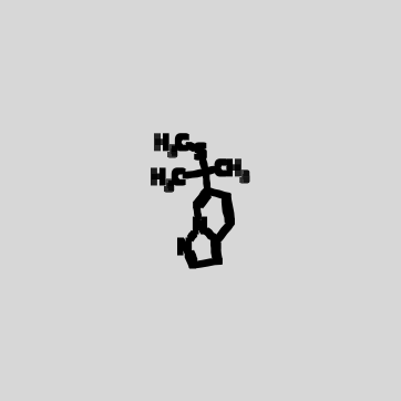 CSC(C)(C)c1ccc2ccnn2c1